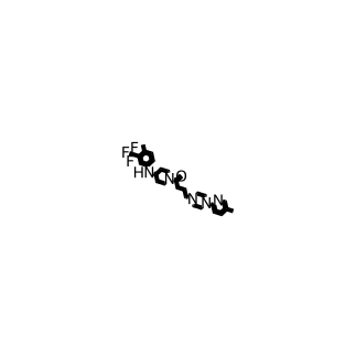 Cc1ccc(N2CCN(CCCC(=O)N3CCC(Nc4ccc(C)c(C(F)(F)F)c4)CC3)CC2)nc1